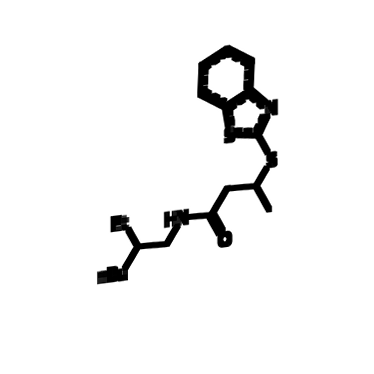 CCCCC(CC)CNC(=O)CC(C)Sc1nc2ccccc2s1